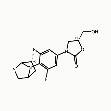 C[C@@H]1CC2CSC1N2c1c(F)cc(N2C[C@H](CO)OC2=O)cc1F